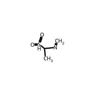 C=NC(C)[SH](=O)=O